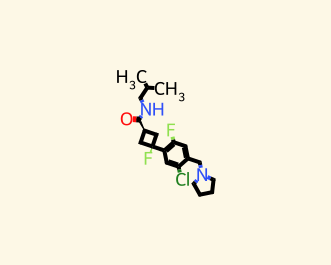 CC(C)CNC(=O)[C@H]1C[C@@](F)(c2cc(Cl)c(CN3CCCC3)cc2F)C1